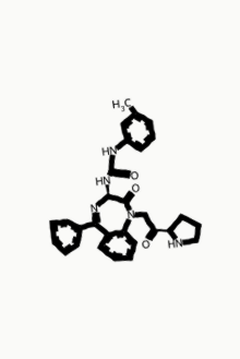 Cc1cccc(NC(=O)N[C@@H]2N=C(c3ccccc3)c3ccccc3N(CC(=O)[C@H]3CCCN3)C2=O)c1